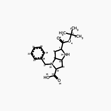 CC(C)(C)OC(=O)C1CC2C(CC(C(=O)O)N2Cc2ccccc2)N1